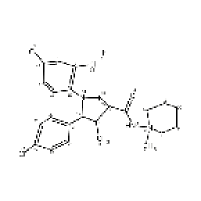 CC1C(C(=O)N[N+]2(C)CCCCC2)=NN(c2ccc(Cl)cc2Cl)C1c1ccc(Cl)cc1.[I-]